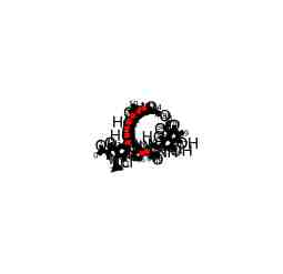 C=C(O)c1cn(C2CC2)c2c(Cl)c(N3CCC(CN/N=C/c4c5c(O)c6c(O)c(C)c7c(c6c4O)C(=O)[C@@](C)(O/C=C/[C@H](OC)[C@@H](C)[C@@H](OC(C)=O)[C@H](C)[C@H](O)[C@H](C)[C@@H](O)[C@@H](C)/C=C/C=C(/C)C(=O)N5)O7)C3)c(F)cc2c1=O